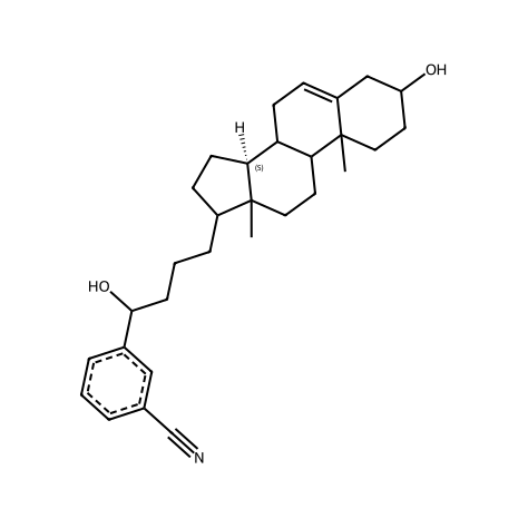 CC12CCC(O)CC1=CCC1C2CCC2(C)C(CCCC(O)c3cccc(C#N)c3)CC[C@@H]12